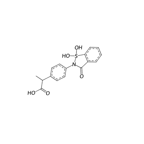 CC(C(=O)O)c1ccc(N2C(=O)c3ccccc3S2(O)O)cc1